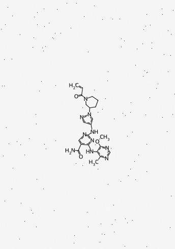 C=CC(=O)N1CCCC(n2cc(Nc3ncc(C(N)=O)c(Nc4c(C)ncnc4OC)n3)cn2)C1